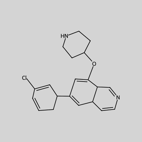 ClC1=CC(C2=CC3C=CN=CC3C(OC3CCNCC3)=C2)CC=C1